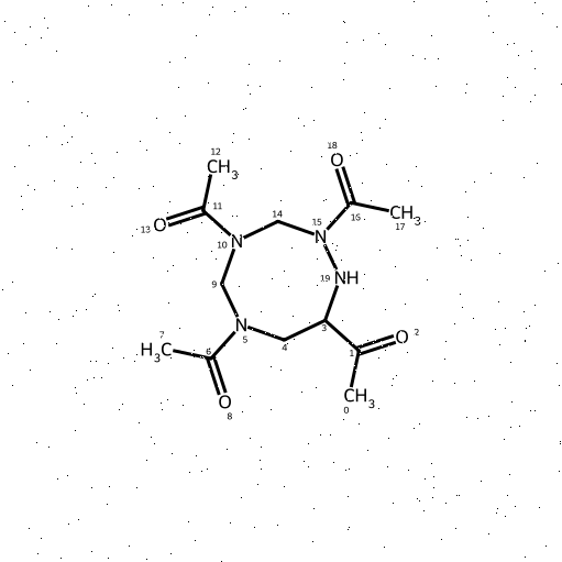 CC(=O)C1CN(C(C)=O)CN(C(C)=O)CN(C(C)=O)N1